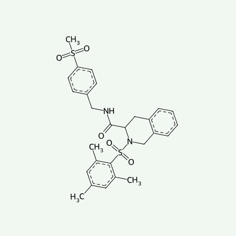 Cc1cc(C)c(S(=O)(=O)N2Cc3ccccc3CC2C(=O)NCc2ccc(S(C)(=O)=O)cc2)c(C)c1